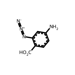 [N-]=[N+]=Nc1cc(N)ccc1C(=O)O